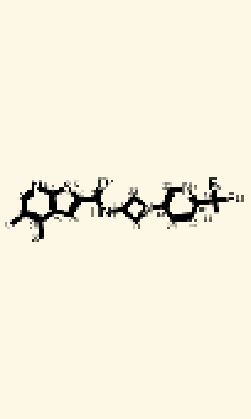 Cc1cnc2sc(C(=O)NC3CN(c4ccc(C(F)(F)F)nc4)C3)cc2c1C